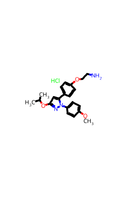 COc1ccc(-n2nc(OC(C)C)cc2-c2ccc(OCCN)cc2)cc1.Cl